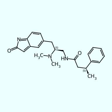 C[C@@H](CC(=O)NC[C@H](Cc1ccc2c(c1)=CC(=O)N=2)N(C)C)c1ccccc1